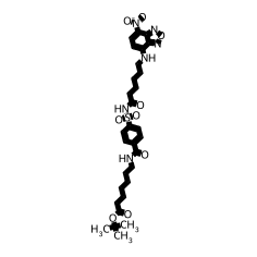 CC(C)(C)OC(=O)CCCCCCNC(=O)c1ccc(S(=O)(=O)NC(=O)CCCCCNc2ccc([N+](=O)[O-])c3nonc23)cc1